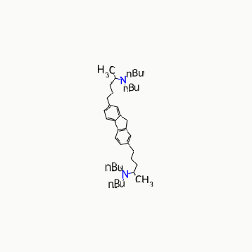 CCCCN(CCCC)C(C)CCCc1ccc2c(c1)Cc1cc(CCCC(C)N(CCCC)CCCC)ccc1-2